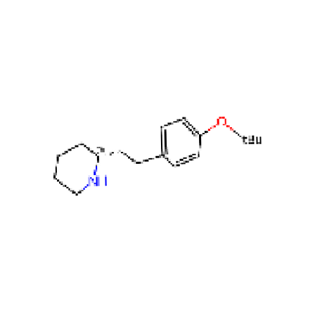 CC(C)(C)Oc1ccc(CC[C@H]2CCCCN2)cc1